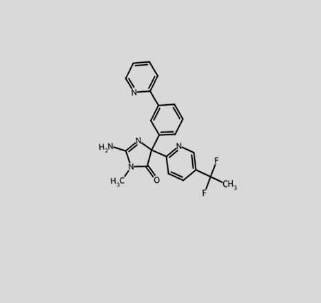 CN1C(=O)C(c2cccc(-c3ccccn3)c2)(c2ccc(C(C)(F)F)cn2)N=C1N